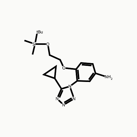 CC(C)(C)[Si](C)(C)OCCOc1ccc(N)cc1-n1nnnc1C1CC1